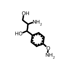 NOc1ccc(C(O)C(N)CO)cc1